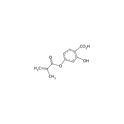 C=C(C)C(=O)Oc1ccc(C(=O)O)c(O)c1